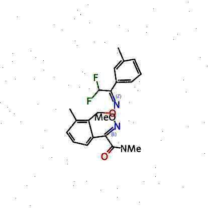 CNC(=O)/C(=N/OC)c1cccc(C)c1CO/N=C(/c1cccc(C)c1)C(F)F